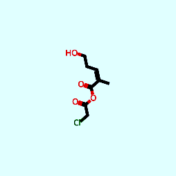 CC(=CCCO)C(=O)OC(=O)CCl